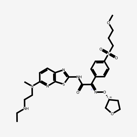 CCNCCN(C)c1ccc2nc(NC(=O)/C(=N/O[C@@H]3CCOC3)c3ccc(S(=O)(=O)CCCOC)cc3)sc2n1